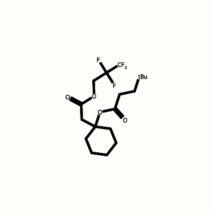 CC(C)(C)CCC(=O)OC1(CC(=O)OCC(F)(F)C(F)(F)F)CCCCC1